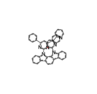 c1ccc(-c2cc(-c3ccccc3)nc(-n3c4ccccc4c4ccc5c6ccccc6n(-c6cccc(-c7ccccn7)n6)c5c43)n2)cc1